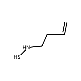 C=CCCNS